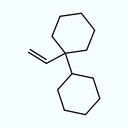 C=CC1(C2CCCCC2)CCCCC1